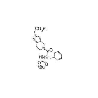 CCOC(=O)Cn1cc2c(n1)CCN(C(=O)[C@H](Cc1ccccc1)NC(=O)OC(C)(C)C)C2